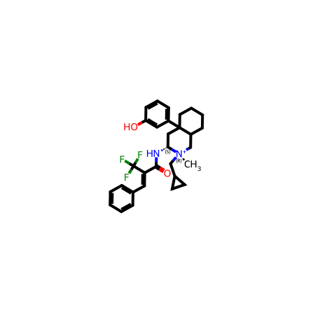 C[N@@+]1(CC2CC2)CC2CCCCC2(c2cccc(O)c2)C[C@H]1NC(=O)C(=Cc1ccccc1)C(F)(F)F